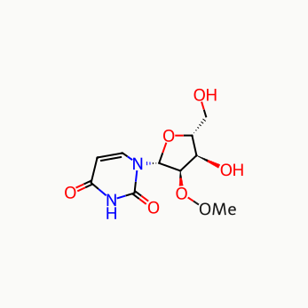 COO[C@@H]1[C@H](O)[C@@H](CO)O[C@H]1n1ccc(=O)[nH]c1=O